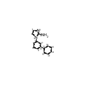 Nc1nccn1-c1cccc(-c2ccccc2)c1